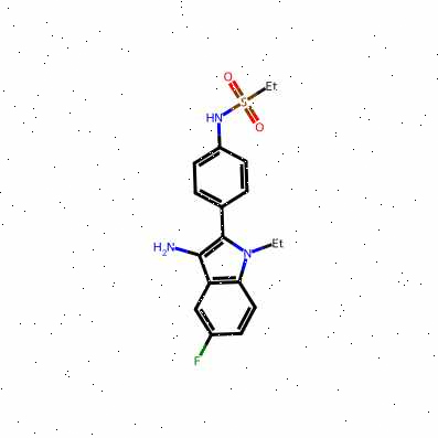 CCn1c(-c2ccc(NS(=O)(=O)CC)cc2)c(N)c2cc(F)ccc21